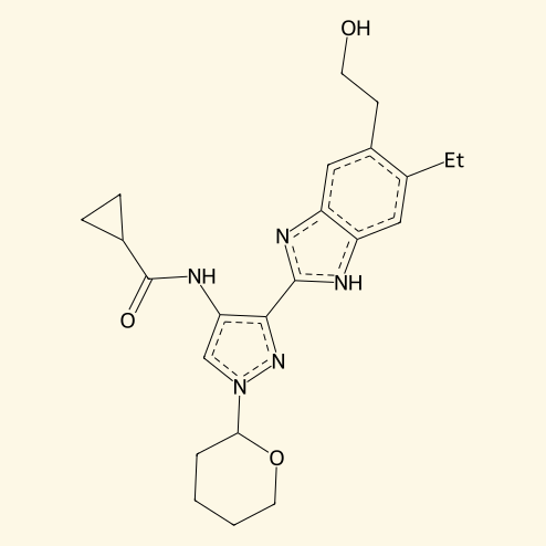 CCc1cc2[nH]c(-c3nn(C4CCCCO4)cc3NC(=O)C3CC3)nc2cc1CCO